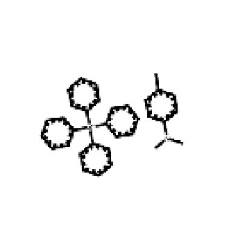 Cc1ccc(N(C)C)cc1.c1ccc([B-](c2ccccc2)(c2ccccc2)c2ccccc2)cc1